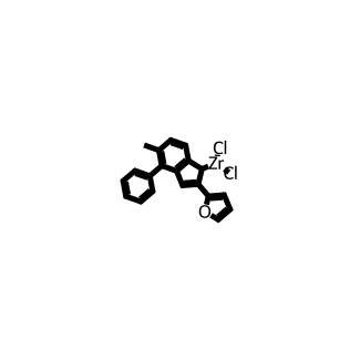 Cc1ccc2c(c1-c1ccccc1)C=C(c1ccco1)[CH]2[Zr]([Cl])[Cl]